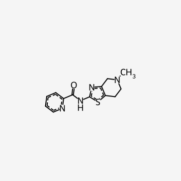 CN1CCc2sc(NC(=O)c3ccccn3)nc2C1